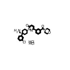 Cl.Cl.NC[C@]1(c2cccc(Cl)c2)CC[C@@H](n2nc(-c3cccc(C(=O)N4CCOCC4)c3)ccc2=O)CC1